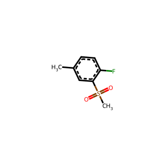 Cc1ccc(F)c(S(C)(=O)=O)c1